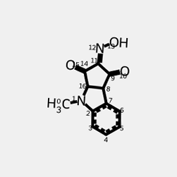 CN1c2ccccc2C2C(=O)C(=NO)C(=O)C21